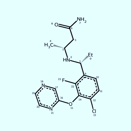 CC[C@@H](N[C@H](C)CC(N)=O)c1ccc(Cl)c(Oc2cnccn2)c1F